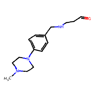 CN1CCN(c2ccc(CNCCC=O)cc2)CC1